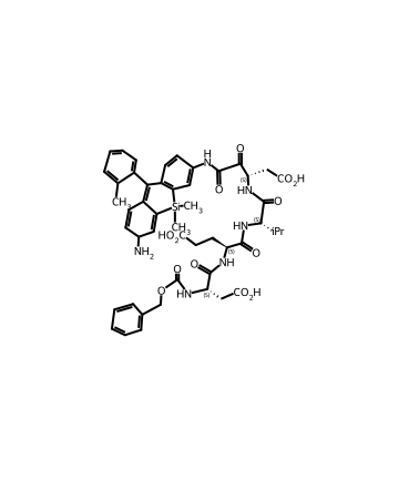 Cc1ccccc1C1=C2C=CC(N)C=C2[Si](C)(C)c2cc(NC(=O)C(=O)[C@H](CC(=O)O)NC(=O)[C@@H](NC(=O)[C@H](CCC(=O)O)NC(=O)[C@H](CC(=O)O)NC(=O)OCc3ccccc3)C(C)C)ccc21